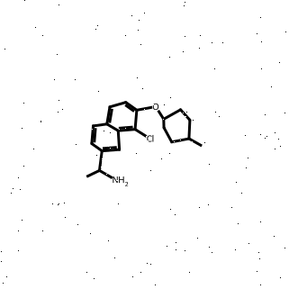 CC1CCC(Oc2ccc3ccc(C(C)N)cc3c2Cl)CC1